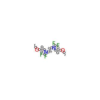 C=Cc1ccc(Oc2ccc(C3(c4ccc(F)cc4)c4ccccc4-c4ccc(N(c5cccc(F)c5)c5ccc6c(c5)C5(CC6(C)C)CC(C)(C)c6ccc(N(c7cccc(F)c7)c7ccc8c(c7)C(c7ccc(F)cc7)(c7ccc(Oc9ccc(C=C)cc9)cc7)c7ccccc7-8)cc65)cc43)cc2)cc1